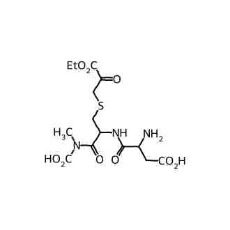 CCOC(=O)C(=O)CSCC(NC(=O)C(N)CC(=O)O)C(=O)N(C)C(=O)O